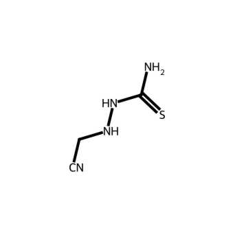 N#CCNNC(N)=S